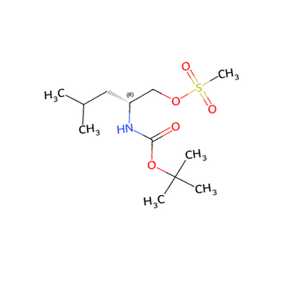 CC(C)C[C@H](COS(C)(=O)=O)NC(=O)OC(C)(C)C